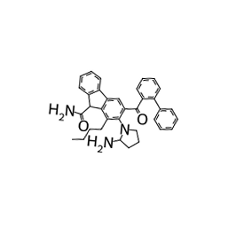 CCCCc1c2c(cc(C(=O)c3ccccc3-c3ccccc3)c1N1CCCC1N)-c1ccccc1C2C(N)=O